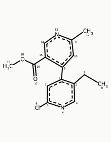 CCc1cnc(Cl)cc1-c1cc(C)ncc1C(=O)OC